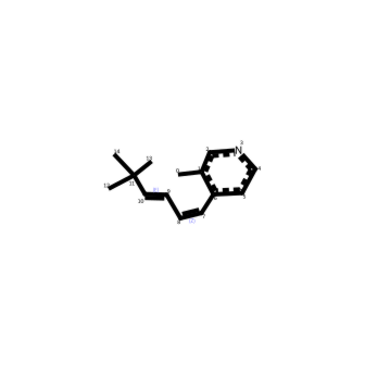 Cc1cnccc1/C=C\C=C\C(C)(C)C